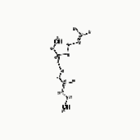 CC(C)=CCC/C(=C\CC/C(C)=C/CO)CO